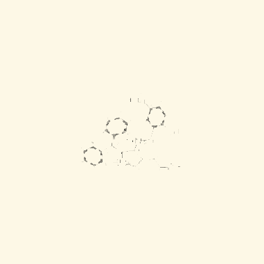 Cc1ccc(C(C)(C)C)cc1CN[C@H]1[C@@H](CCO)CN[C@H]1C(c1ccccc1)c1ccccc1